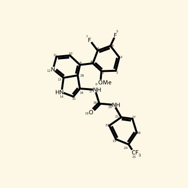 COc1ccc(F)c(F)c1-c1ccnc2[nH]cc(NC(=O)Nc3ccc(C(F)(F)F)cc3)c12